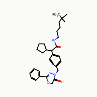 CC(C)(CCCCNC(=O)C(c1ccc(CN2N=C(c3ccccc3)OCC2=O)cc1)C1CCCC1)C(=O)O